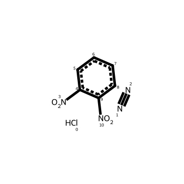 Cl.N#N.O=[N+]([O-])c1ccccc1[N+](=O)[O-]